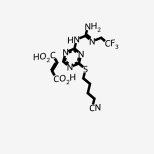 N#CCCCCSc1ncnc(NC(N)=NCC(F)(F)F)n1.O=C(O)C=CC(=O)O